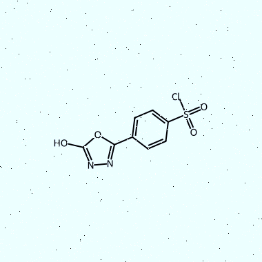 O=S(=O)(Cl)c1ccc(-c2nnc(O)o2)cc1